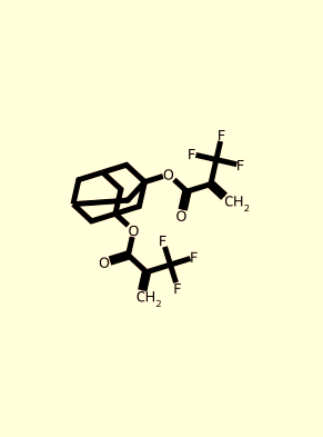 C=C(C(=O)OC12CC3CC(C1)CC(OC(=O)C(=C)C(F)(F)F)(C3)C2)C(F)(F)F